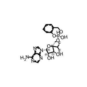 Nc1ncnc2c1ncn2[C@@H]1O[C@@](CO[PH]2(O)OCc3ccccc3O2)(C(F)F)[C@@H](O)[C@H]1O